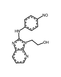 O=Nc1ccc(Nc2nc3cccnc3n2CCO)cc1